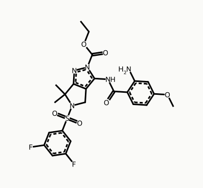 CCOC(=O)n1nc2c(c1NC(=O)c1ccc(OC)cc1N)CN(S(=O)(=O)c1cc(F)cc(F)c1)C2(C)C